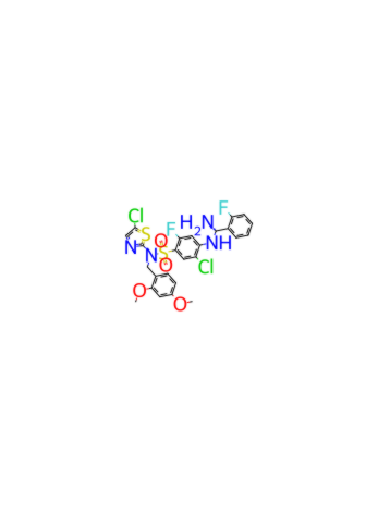 COc1ccc(CN(c2ncc(Cl)s2)S(=O)(=O)c2cc(Cl)c(N[C@@H](N)c3ccccc3F)cc2F)c(OC)c1